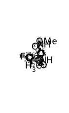 CONC(=O)c1ccc(NS(C)(=O)=O)c(Oc2ccc(F)cc2F)c1